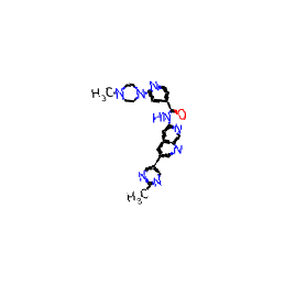 Cc1ncc(-c2cnc3cnc(NC(=O)c4ccnc(N5CCN(C)CC5)c4)cc3c2)cn1